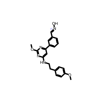 COc1ccc(CCNc2cc(-c3cccc(/C=N/O)c3)nc(OC)n2)cc1